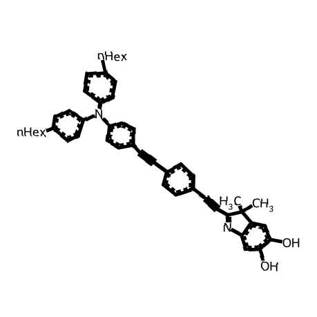 CCCCCCc1ccc(N(c2ccc(C#Cc3ccc(C#CC4=Nc5cc(O)c(O)cc5C4(C)C)cc3)cc2)c2ccc(CCCCCC)cc2)cc1